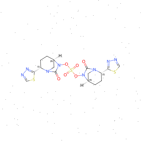 O=C1N2C[C@@H](CC[C@H]2c2nncs2)N1OS(=O)(=O)ON1C(=O)N2C[C@H]1CC[C@H]2c1nncs1